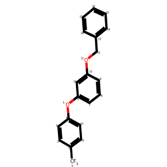 FC(F)(F)c1ccc(Oc2cccc(OCc3ccccc3)c2)cc1